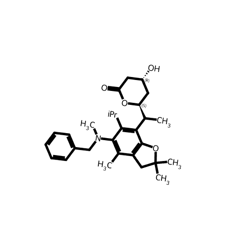 Cc1c2c(c(C(C)[C@@H]3C[C@@H](O)CC(=O)O3)c(C(C)C)c1N(C)Cc1ccccc1)OC(C)(C)C2